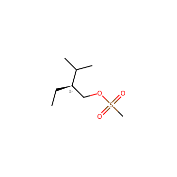 CC[C@H](COS(C)(=O)=O)C(C)C